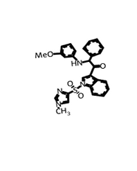 COc1cccc(NC(C(=O)c2cn(S(=O)(=O)c3cn(C)cn3)c3ccccc23)c2ccccc2)c1